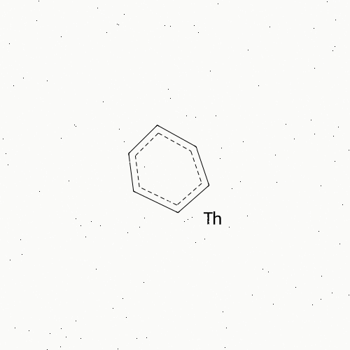 [Th].c1ccccc1